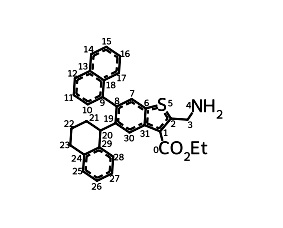 CCOC(=O)c1c(CN)sc2cc(-c3cccc4ccccc34)c(C3CCCc4ccccc43)cc12